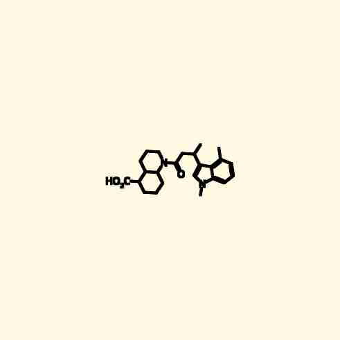 Cc1cccc2c1c(C(C)CC(=O)N1CCCC3C(C(=O)O)CCCC31)cn2C